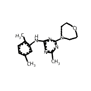 Cc1ccc(C)c(Nc2nc(C)nc(N3CCOCC3)n2)c1